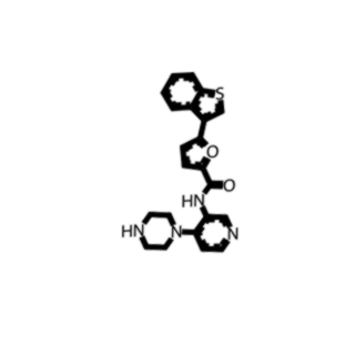 O=C(Nc1cnccc1N1CCNCC1)c1ccc(-c2csc3ccccc23)o1